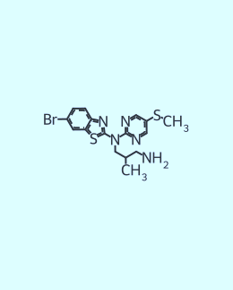 CSc1cnc(N(CC(C)CN)c2nc3ccc(Br)cc3s2)nc1